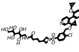 O=C(CCCC1CN(S(=O)(=O)c2ccc(Cl)c(COC3(c4cnccc4-c4ccccc4OC4CC4)CC3)c2)C1)NCC(O)C(O)C(O)C(O)CO